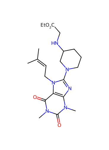 CCOC(=O)CNC1CCCN(c2nc3c(c(=O)n(C)c(=O)n3C)n2CC=C(C)C)C1